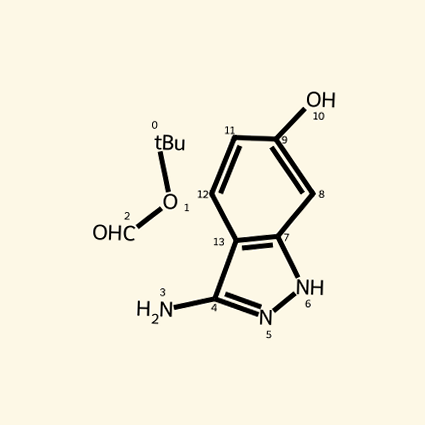 CC(C)(C)OC=O.Nc1n[nH]c2cc(O)ccc12